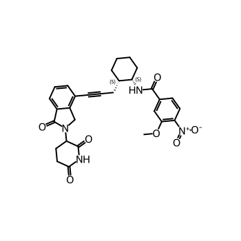 COc1cc(C(=O)N[C@H]2CCCC[C@H]2CC#Cc2cccc3c2CN(C2CCC(=O)NC2=O)C3=O)ccc1[N+](=O)[O-]